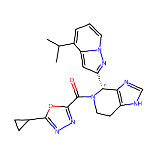 CC(C)c1cccn2nc([C@@H]3c4nc[nH]c4CCN3C(=O)c3nnc(C4CC4)o3)cc12